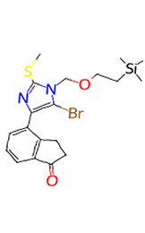 CSc1nc(-c2cccc3c2CCC3=O)c(Br)n1COCC[Si](C)(C)C